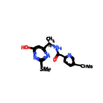 COc1ccc(C(=O)N[C@@H](C)c2cc(O)nc(SC)n2)nc1